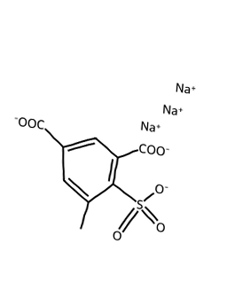 Cc1cc(C(=O)[O-])cc(C(=O)[O-])c1S(=O)(=O)[O-].[Na+].[Na+].[Na+]